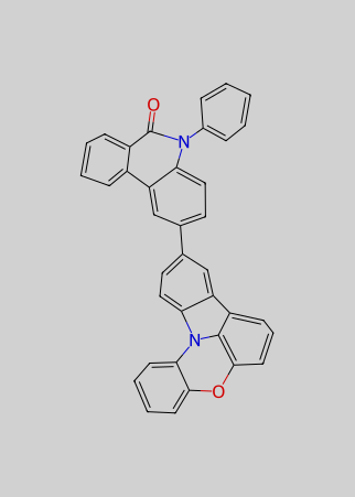 O=c1c2ccccc2c2cc(-c3ccc4c(c3)c3cccc5c3n4-c3ccccc3O5)ccc2n1-c1ccccc1